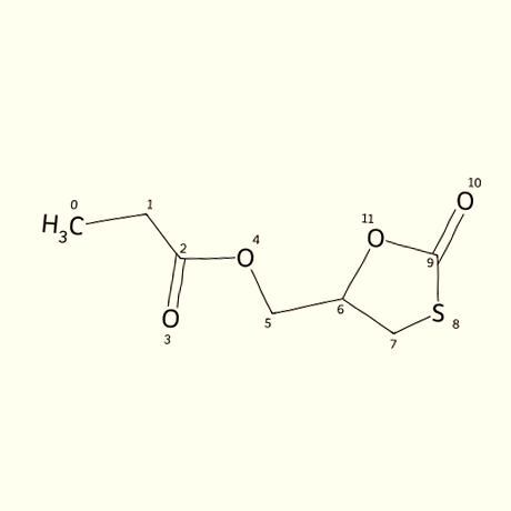 CCC(=O)OCC1CSC(=O)O1